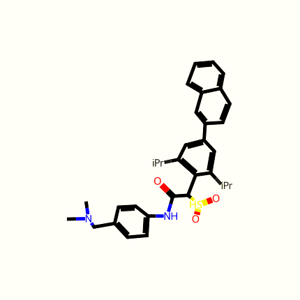 CC(C)c1cc(-c2ccc3ccccc3c2)cc(C(C)C)c1C(C(=O)Nc1ccc(CN(C)C)cc1)[SH](=O)=O